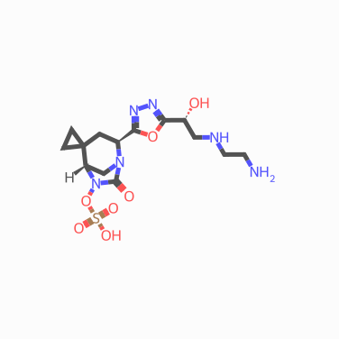 NCCNC[C@@H](O)c1nnc([C@@H]2CC3(CC3)[C@@H]3CN2C(=O)N3OS(=O)(=O)O)o1